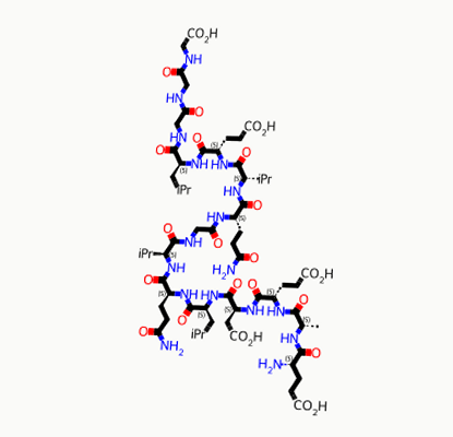 CC(C)C[C@H](NC(=O)[C@H](CCC(=O)O)NC(=O)[C@@H](NC(=O)[C@H](CCC(N)=O)NC(=O)CNC(=O)[C@@H](NC(=O)[C@H](CCC(N)=O)NC(=O)[C@H](CC(C)C)NC(=O)[C@H](CC(=O)O)NC(=O)[C@H](CCC(=O)O)NC(=O)[C@H](C)NC(=O)[C@@H](N)CCC(=O)O)C(C)C)C(C)C)C(=O)NCC(=O)NCC(=O)NCC(=O)O